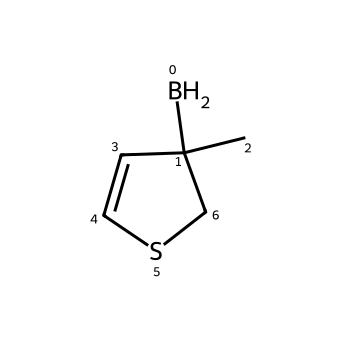 BC1(C)C=CSC1